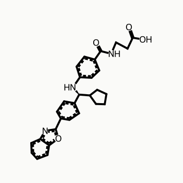 O=C(O)CCNC(=O)c1ccc(N[C@H](c2ccc(-c3nc4ccccc4o3)cc2)C2CCCC2)cc1